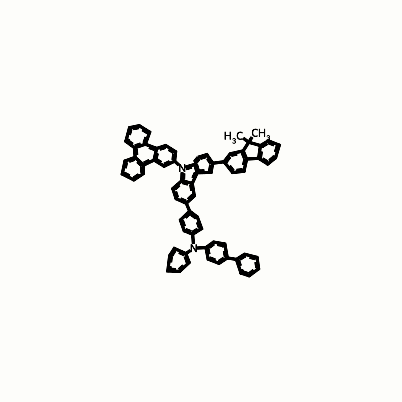 CC1(C)c2ccccc2-c2ccc(-c3ccc4c(c3)c3cc(-c5ccc(N(c6ccccc6)c6ccc(-c7ccccc7)cc6)cc5)ccc3n4-c3ccc4c5ccccc5c5ccccc5c4c3)cc21